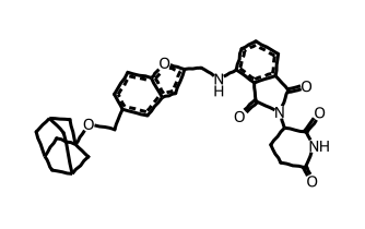 O=C1CCC(N2C(=O)c3cccc(NCc4cc5cc(COC67CC8CC(CC(C8)C6)C7)ccc5o4)c3C2=O)C(=O)N1